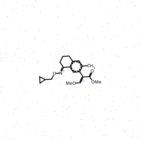 CO/C=C(/C(=O)OC)c1cc2c(cc1C)CCC/C2=N\OCC1CC1